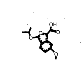 COc1ccc2c(OC(C)C)oc(C(=O)O)c2c1